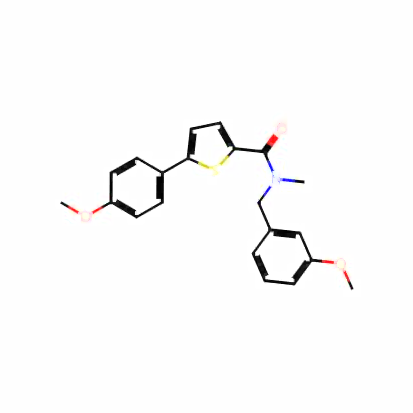 COc1ccc(-c2ccc(C(=O)N(C)Cc3cccc(OC)c3)s2)cc1